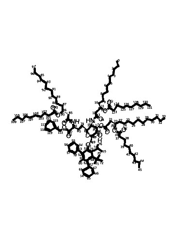 CCCCCCCCCCC[C@H](CC(=O)N[C@@H]1[C@@H](OC(=O)C[C@@H](CCCCCCCCCCC)OC(=O)CCCCCCCCC)[C@H](O)[C@@H](COc2c(-c3ccccc3)c(C)c(-c3ccccc3)c(C(C)(C)C)c2C(C)C)O[C@H]1CC[C@H](NC(=O)C[C@@H](CCCCCCCCCCC)OC(=O)CCCCCCCCC)C(=O)OCc1ccccc1)OC(=O)CCCCCCCCC